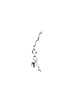 CCCCCCCCCC1CCC([C@H]2CC[C@](C#N)(CCCCC)CC2)CC1